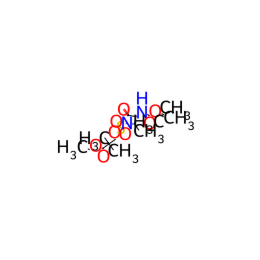 CCOC(=O)C(C)(C)COS(=O)(=O)N1C(=O)C(NC(=O)OC(C)(C)C)C1C